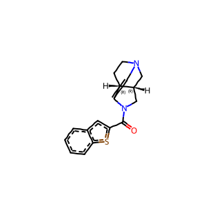 O=C(c1cc2ccccc2s1)N1C[C@H]2CN3C=C1[C@@H]2CC3